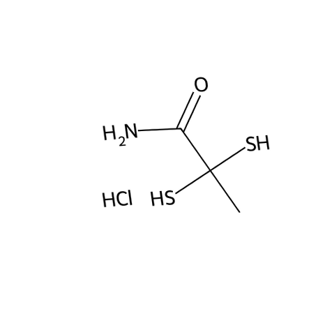 CC(S)(S)C(N)=O.Cl